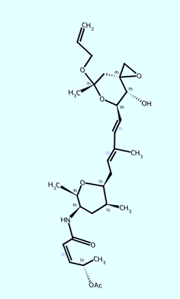 C=CCO[C@]1(C)C[C@@]2(CO2)[C@H](O)[C@@H](/C=C/C(C)=C/C[C@@H]2O[C@H](C)[C@H](NC(=O)/C=C\[C@H](C)OC(C)=O)C[C@@H]2C)O1